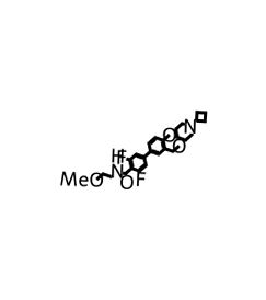 COCCNC(=O)c1c(F)cc(-c2ccc3c(c2)COC2(CCN(C4CCC4)CC2)O3)cc1F